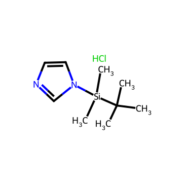 CC(C)(C)[Si](C)(C)n1ccnc1.Cl